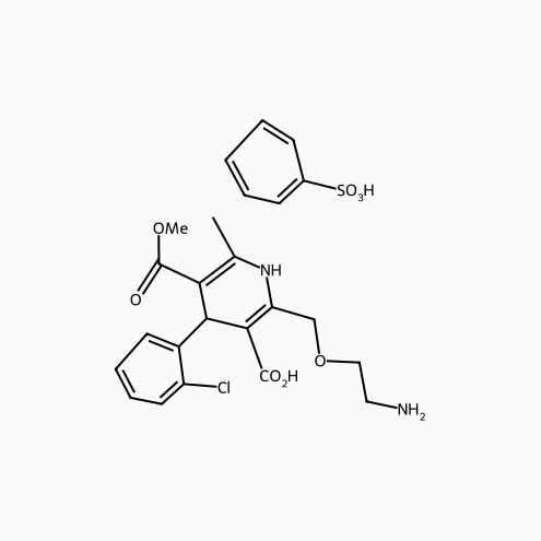 COC(=O)C1=C(C)NC(COCCN)=C(C(=O)O)C1c1ccccc1Cl.O=S(=O)(O)c1ccccc1